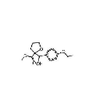 CCOc1ccc(C(O)C2(C(=O)OC)CCCO2)cc1